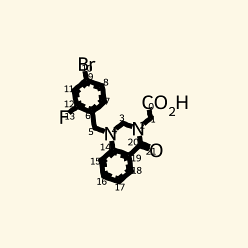 O=C(O)CN1CN(Cc2ccc(Br)cc2F)c2ccccc2C1=O